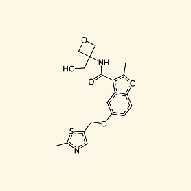 Cc1ncc(COc2ccc3oc(C)c(C(=O)NC4(CO)COC4)c3c2)s1